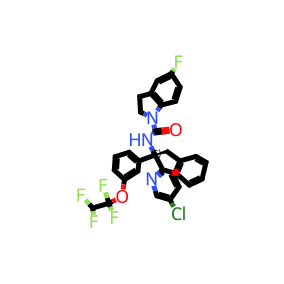 O=C(N[C@@](Cc1ccccc1)(c1cccc(OC(F)(F)C(F)F)c1)c1ccc(Cl)cn1)N1CCc2cc(F)ccc21